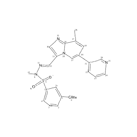 COc1cccc(S(=O)(=O)N(C)/N=C/c2cnc3c(C)cc(-c4cccnc4)cn23)c1